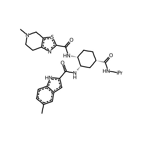 Cc1ccc2[nH]c(C(=O)N[C@H]3C[C@@H](C(=O)NC(C)C)CC[C@H]3NC(=O)c3nc4c(s3)CN(C)CC4)cc2c1